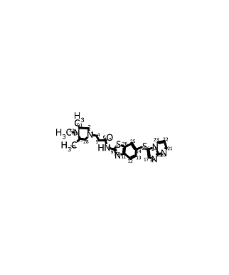 CC1CN(CCC(=O)Nc2nc3ccc(Sc4cnc5ncccn45)cc3s2)CC(C)N1C